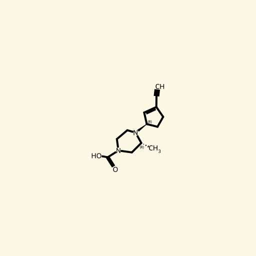 C#CC1=C[C@H](N2CCN(C(=O)O)C[C@H]2C)CC1